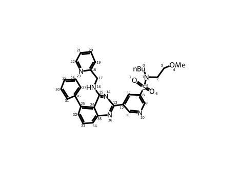 CCCCN(CCOC)S(=O)(=O)c1cncc(-c2nc(NCc3ccccn3)c3c(-c4ccccc4)cccc3n2)c1